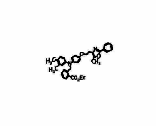 CCOC(=O)c1ccccc1CN(c1ccc(OCCc2nc(-c3ccccc3)oc2C)cc1)c1ccc(C)c(C)c1